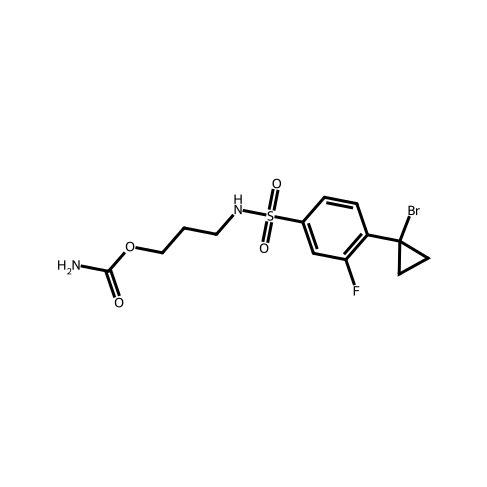 NC(=O)OCCCNS(=O)(=O)c1ccc(C2(Br)CC2)c(F)c1